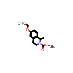 CC1c2ccc(OCC=O)cc2CCN1C(=O)OC(C)(C)C